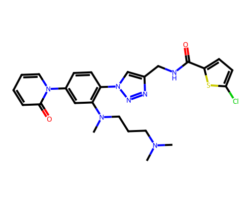 CN(C)CCCN(C)c1cc(-n2ccccc2=O)ccc1-n1cc(CNC(=O)c2ccc(Cl)s2)nn1